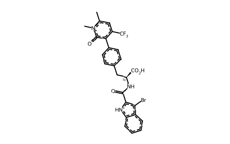 Cc1cc(C(F)(F)F)c(-c2ccc(C[C@H](NC(=O)c3[nH]c4ccccc4c3Br)C(=O)O)cc2)c(=O)n1C